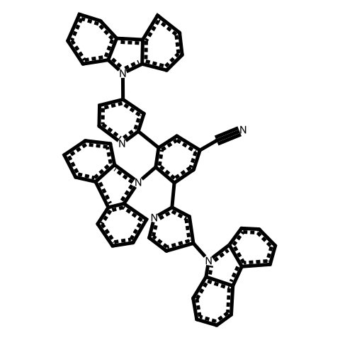 N#Cc1cc(-c2cc(-n3c4ccccc4c4ccccc43)ccn2)c(-n2c3ccccc3c3ccccc32)c(-c2cc(-n3c4ccccc4c4ccccc43)ccn2)c1